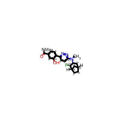 CNC(=O)c1ccc(-c2ccc(N(C)[C@H]3C[C@@H]4CC[C@@H](C4)[C@H]3F)nn2)c(O)c1